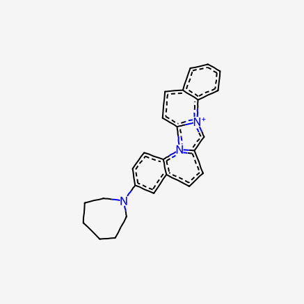 c1ccc2c(c1)ccc1n3c(ccc4cc(N5CCCCCC5)ccc43)c[n+]21